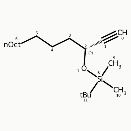 C#C[C@@H](CCCCCCCCCCC)O[Si](C)(C)C(C)(C)C